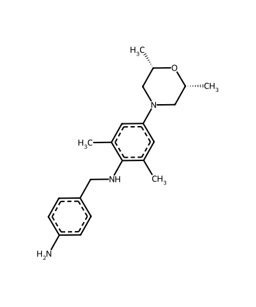 Cc1cc(N2C[C@@H](C)O[C@@H](C)C2)cc(C)c1NCc1ccc(N)cc1